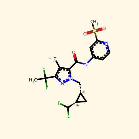 Cc1c(C(C)(F)F)nn(C[C@@H]2C[C@H]2C(F)F)c1C(=O)Nc1ccnc(S(C)(=O)=O)c1